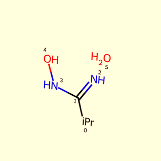 CC(C)C(=N)NO.O